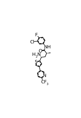 C[C@@H](C[C@@H](N)c1cc(-c2ccc(C(F)(F)F)nc2)cs1)C(=O)Nc1ccc(F)c(Cl)c1